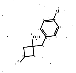 O=C(O)C1(Cc2ccc(Cl)cc2)CC(O)C1